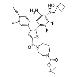 CC(C)(C)OC(=O)N1CCCN(C(=O)c2cc(-c3ccc(C#N)c(F)c3)c(-c3cc(N)c(NCC4(O)CCC4)c(F)c3F)s2)CC1